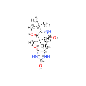 CC(C)(C)C(=O)C(NC(=O)CCC1NC(=O)NC1=O)C(C)(C)C